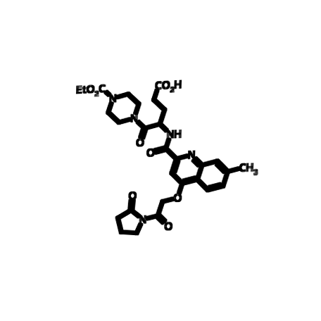 CCOC(=O)N1CCN(C(=O)C(CCC(=O)O)NC(=O)c2cc(OCC(=O)N3CCCC3=O)c3ccc(C)cc3n2)CC1